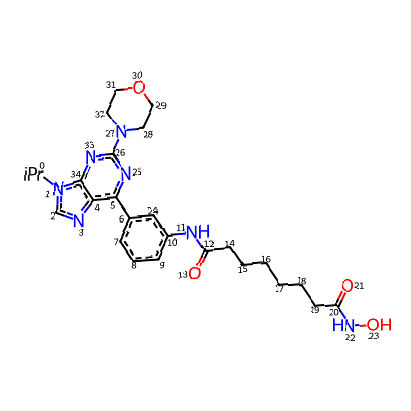 CC(C)n1cnc2c(-c3cccc(NC(=O)CCCCCCC(=O)NO)c3)nc(N3CCOCC3)nc21